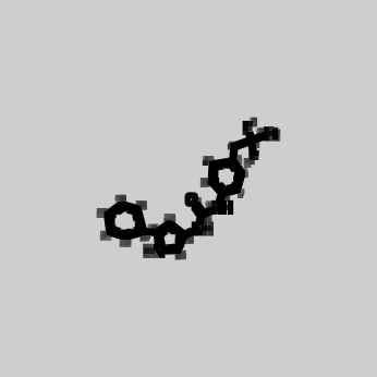 CCC(F)(F)Cc1ccc(NC(=O)Nc2c[nH]c(-c3ccccc3)c2)cc1